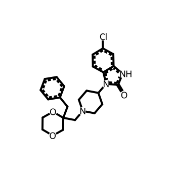 O=c1[nH]c2cc(Cl)ccc2n1C1CCN(CC2(Cc3ccccc3)COCCO2)CC1